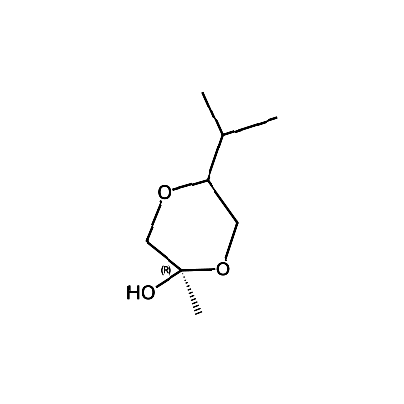 CC(C)C1CO[C@@](C)(O)CO1